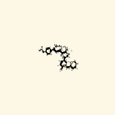 CNCc1ccc(C(=N)/C=C(\O)c2nc(-c3ccc(=O)n(CC4CCCCO4)c3)cnc2N)cc1